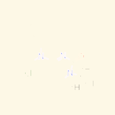 [2H]C([2H])([2H])n1c(=O)nc(N2CCCc3c(I)cccc32)c2c(Cl)cccc21